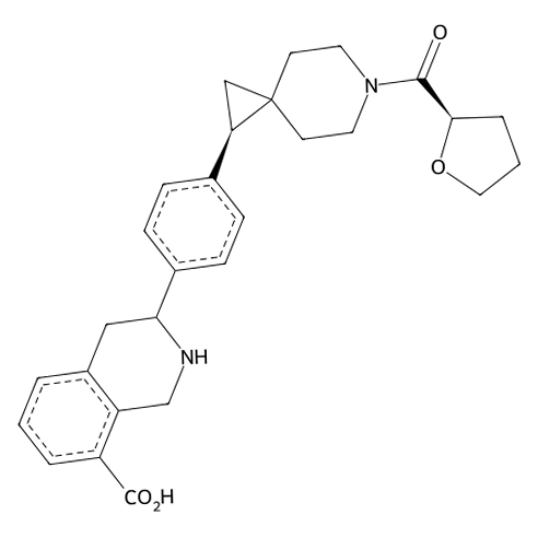 O=C(O)c1cccc2c1CNC(c1ccc([C@H]3CC34CCN(C(=O)[C@H]3CCCO3)CC4)cc1)C2